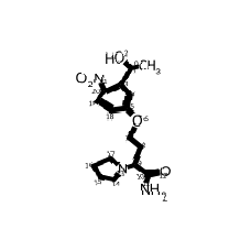 CC(O)c1cc(OCCC(C(N)=O)N2CCCC2)ccc1[N+](=O)[O-]